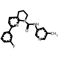 Cc1cncc(NC(=O)N2CCCc3ccc(-c4cccc(F)c4)nc32)c1